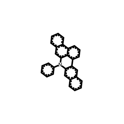 c1ccc(N2c3cc4ccccc4cc3-c3cccc4c3c2cc2ccccc24)cc1